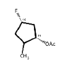 CC(=O)O[C@H]1C[C@@H](F)CC1C